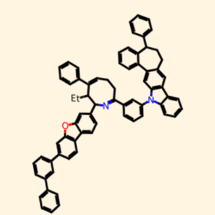 CCC1/C(c2ccccc2)=C\CC/C(c2cccc(-n3c4ccccc4c4cc5c(cc43)-c3ccccc3C(c3ccccc3)CC5)c2)=N\C1c1ccc2c(c1)oc1cc(-c3cccc(-c4ccccc4)c3)ccc12